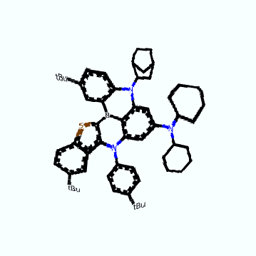 CC(C)(C)c1ccc(N2c3cc(N(C4CCCCC4)C4CCCCC4)cc4c3B(c3cc(C(C)(C)C)ccc3N4C3CC4CCC3C4)c3sc4ccc(C(C)(C)C)cc4c32)cc1